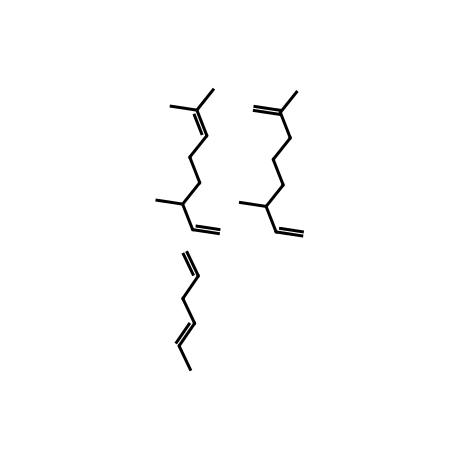 C=CC(C)CCC=C(C)C.C=CC(C)CCCC(=C)C.C=CCC=CC